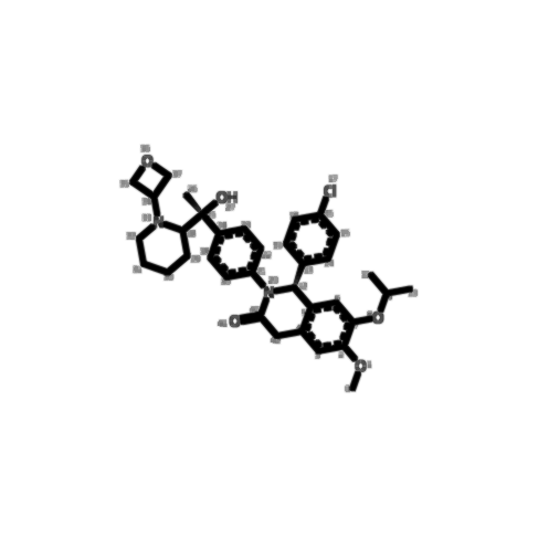 COc1cc2c(cc1OC(C)C)[C@H](c1ccc(Cl)cc1)N(c1ccc([C@@](C)(O)C3CCCCN3C3COC3)cc1)C(=O)C2